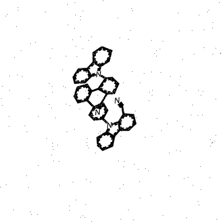 N#Cc1cccc(-n2c3ccccc3c3ccccc32)c1-c1ccccc1-c1ccc(-n2c3ccccc3c3cccc(C#N)c32)cc1